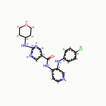 O=C(Nc1ccncc1Nc1ccc(Cl)cc1)c1cnc(NC2CCOCC2)nc1